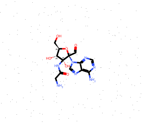 NCC(=O)N[C@@]1(O)[C@H](O)[C@@H](CO)O[C@@]1(C=O)n1cnc2c(N)ncnc21